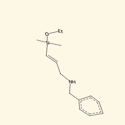 CCO[Si](C)(C)C=CCNCc1ccccc1